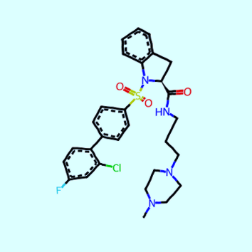 CN1CCN(CCCNC(=O)[C@@H]2Cc3ccccc3N2S(=O)(=O)c2ccc(-c3ccc(F)cc3Cl)cc2)CC1